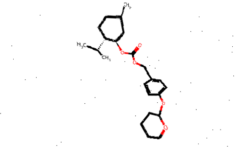 CC(C)[C@@H]1CC[C@@H](C)C[C@H]1OC(=O)OCc1ccc(OC2CCCCO2)cc1